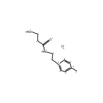 CCCCCCCCCCCC(=O)NCC[n+]1ccc(C)cc1.[Cl-]